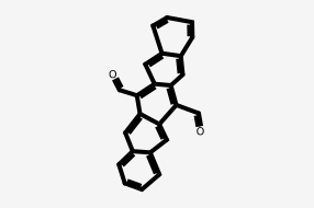 O=Cc1c2cc3ccccc3cc2c(C=O)c2cc3ccccc3cc12